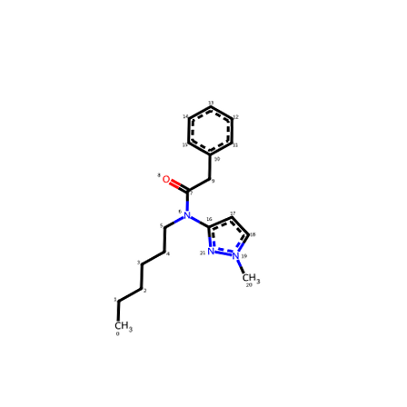 CCCCCCN(C(=O)Cc1ccccc1)c1ccn(C)n1